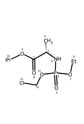 CCOP(=O)(N[C@@H](C)C(=O)OC(C)C)OCCl